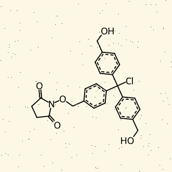 O=C1CCC(=O)N1OCc1ccc(C(Cl)(c2ccc(CO)cc2)c2ccc(CO)cc2)cc1